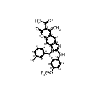 Cc1c(C(N)=O)c(=O)oc2cc3c(cc12)nc(Nc1ccc(OC(F)(F)F)cc1)n3Cc1cccc(I)c1